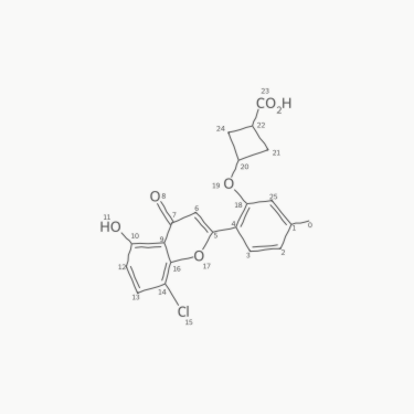 Cc1ccc(-c2cc(=O)c3c(O)ccc(Cl)c3o2)c(OC2CC(C(=O)O)C2)c1